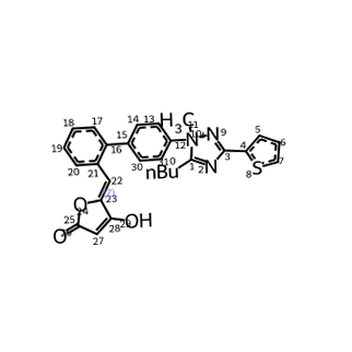 CCCCC1=NC(c2cccs2)=N[N+]1(C)c1ccc(-c2ccccc2/C=C2\OC(=O)C=C2O)cc1